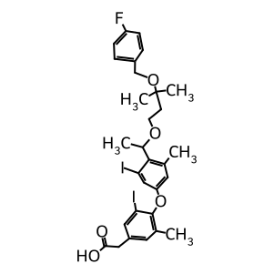 Cc1cc(CC(=O)O)cc(I)c1Oc1cc(C)c(C(C)OCCC(C)(C)OCc2ccc(F)cc2)c(I)c1